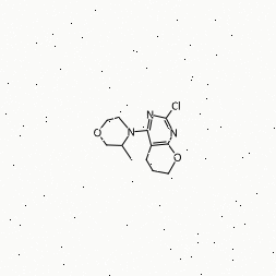 CC1COCCN1c1nc(Cl)nc2c1CCCO2